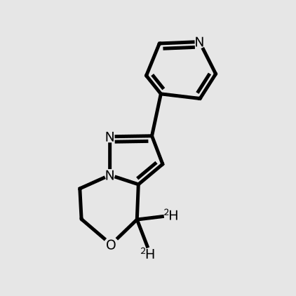 [2H]C1([2H])OCCn2nc(-c3ccncc3)cc21